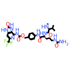 CN[C@H](C(=O)N[C@@H](CCCNC(N)=O)C(=O)Nc1ccc(COC(=O)Nc2nc(C(F)(F)F)cc3[nH]c(=O)[nH]c23)cc1)C(C)C